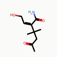 CC(=O)CC(C)(C)C(=CCO)C(N)=O